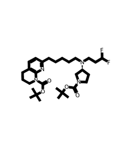 CC(C)(C)OC(=O)N1CC[C@@H](N(CCCCCc2ccc3c(n2)N(C(=O)OC(C)(C)C)CCC3)CCC(F)F)C1